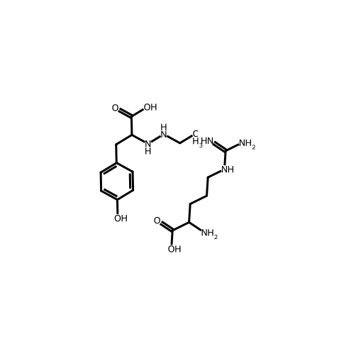 CCNNC(Cc1ccc(O)cc1)C(=O)O.N=C(N)NCCCC(N)C(=O)O